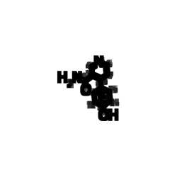 NC(=O)c1cnccc1C12CCC(O)(CC1)CC2